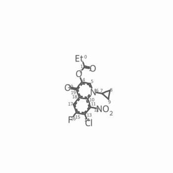 CCC(=O)Oc1cn(C2CC2)c2c([N+](=O)[O-])c(Cl)c(F)cc2c1=O